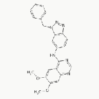 COc1cc2ncnc(Nc3ccc4nnn(Cc5ccccc5)c4c3)c2cc1OC